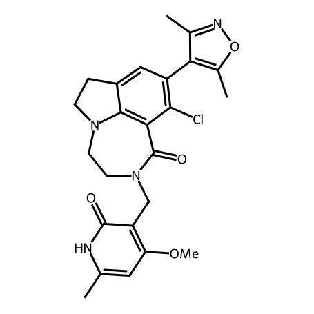 COc1cc(C)[nH]c(=O)c1CN1CCN2CCc3cc(-c4c(C)noc4C)c(Cl)c(c32)C1=O